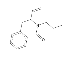 C=CC(Cc1ccccc1)N(C=O)CCC